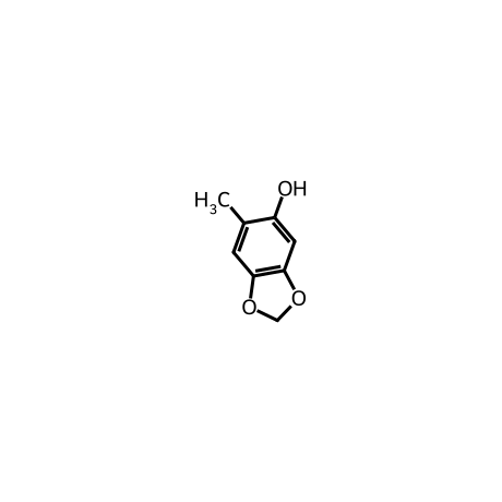 Cc1cc2c(cc1O)OCO2